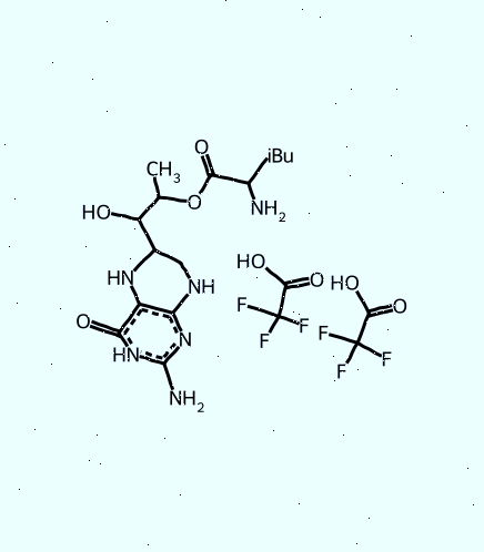 CCC(C)C(N)C(=O)OC(C)C(O)C1CNc2nc(N)[nH]c(=O)c2N1.O=C(O)C(F)(F)F.O=C(O)C(F)(F)F